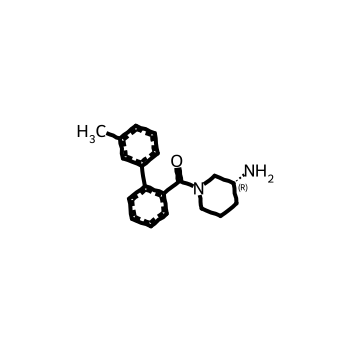 Cc1cccc(-c2ccccc2C(=O)N2CCC[C@@H](N)C2)c1